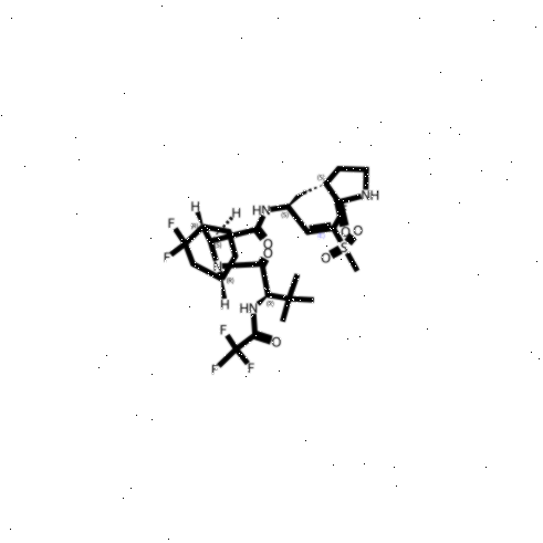 CC(C)(C)[C@@H](NC(=O)C(F)(F)F)C(=O)N1[C@@H]2CC[C@H]([C@H]1C(=O)N[C@H](/C=C(\F)S(C)(=O)=O)C[C@@H]1CCNC1=O)C(F)(F)C2